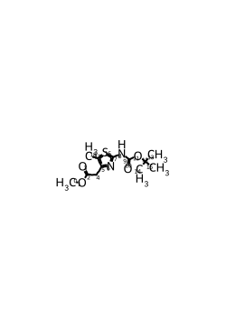 COC(=O)Cc1nc(NC(=O)OC(C)(C)C)sc1C